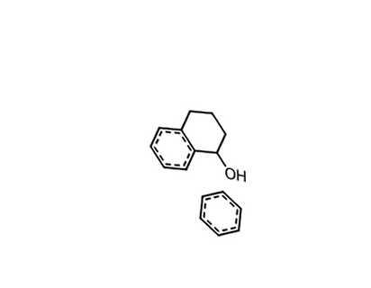 OC1CCCc2ccccc21.c1ccccc1